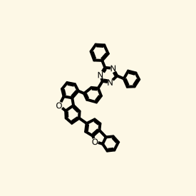 C1=CC2Oc3cc(-c4ccc5oc6cccc(-c7cccc(-c8nc(-c9ccccc9)nc(-c9ccccc9)n8)c7)c6c5c4)ccc3C2C=C1